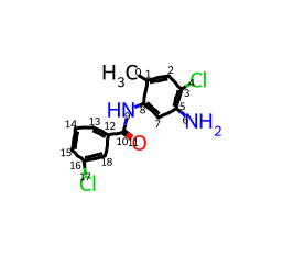 Cc1cc(Cl)c(N)cc1NC(=O)c1cccc(Cl)c1